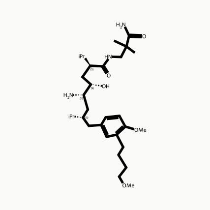 COCCCCc1cc(C[C@@H](C[C@H](N)[C@@H](O)C[C@H](C(=O)NCC(C)(C)C(N)=O)C(C)C)C(C)C)ccc1OC